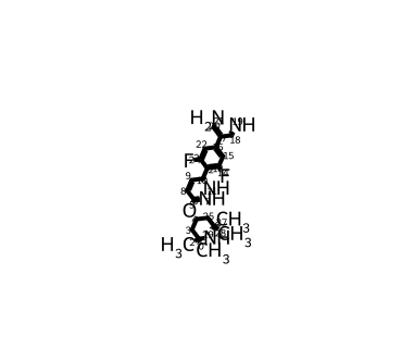 CC1(C)CC(OC(=N)/C=C\C(=N)c2c(F)cc(/C(C=N)=C/N)cc2F)CC(C)(C)N1